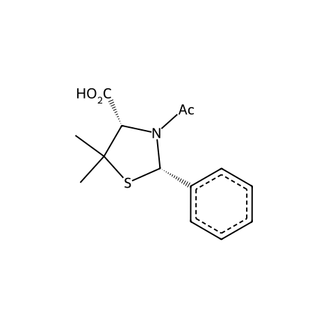 CC(=O)N1[C@@H](C(=O)O)C(C)(C)S[C@H]1c1ccccc1